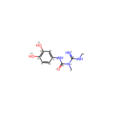 CNC(=N)N(C)C(=O)Nc1ccc(O)c(O)c1